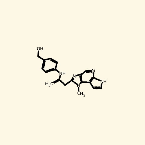 C=C(Cc1nc2cnc3[nH]ccc3c2n1C)Nc1ccc(CO)cc1